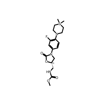 COC(=O)NC[C@H]1CN(c2ccc(N3CC[Si](C)(C)CC3)c(F)c2)C(=O)O1